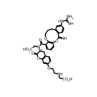 N=C(N)Nc1ccc2c(c1)CCCOc1c(cccc1C(=O)N(CC(=O)O)[C@H]1Cc3ccc(OCCNCC(=O)O)cc3OC1=O)OC2=N